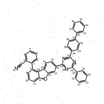 N#Cc1ccccc1-c1cccc2oc3cc(-c4nc(-c5ccccc5)nc(-c5ccc(-c6ccccc6)cc5)n4)ccc3c12